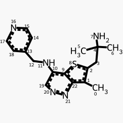 Cc1c(CC(C)(C)N)sc2c(NCc3ccncc3)cnnc12